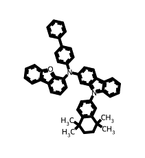 CC1(C)CCC(C)(C)c2cc(-n3c4ccccc4c4ccc(N(c5ccc(-c6ccccc6)cc5)c5cccc6c5oc5ccccc56)cc43)ccc21